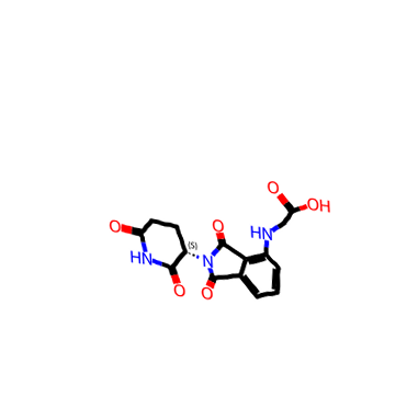 O=C(O)CNc1cccc2c1C(=O)N([C@H]1CCC(=O)NC1=O)C2=O